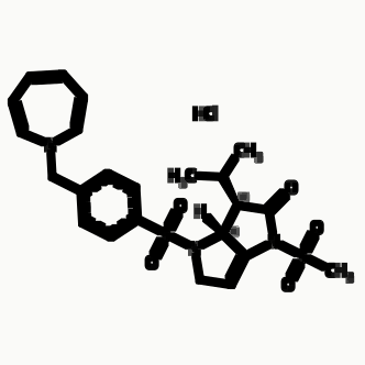 CC(C)[C@H]1C(=O)N(S(C)(=O)=O)C2=CCN(S(=O)(=O)c3ccc(CN4C=CC=CC=C4)cc3)[C@@H]21.Cl